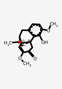 COC1=C[C@@H]2C3Cc4ccc(OC)c(O)c4[C@]2(CCN3C)CC1=O